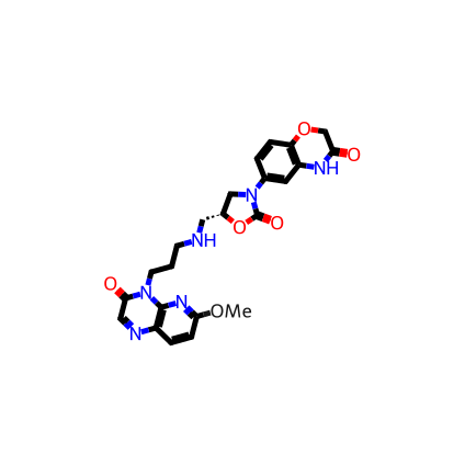 COc1ccc2ncc(=O)n(CCCNC[C@@H]3CN(c4ccc5c(c4)NC(=O)CO5)C(=O)O3)c2n1